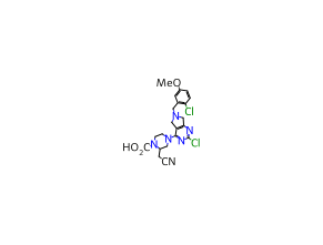 COc1ccc(Cl)c(CN2Cc3nc(Cl)nc(N4CCN(C(=O)O)C(CC#N)C4)c3C2)c1